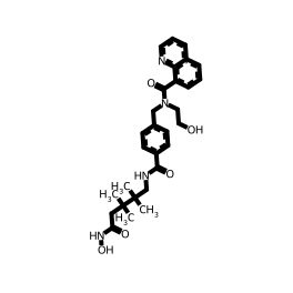 CC(C)(CNC(=O)c1ccc(CN(CCO)C(=O)c2cccc3cccnc23)cc1)C(C)(C)CC(=O)NO